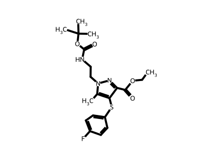 CCOC(=O)c1nn(CCNC(=O)OC(C)(C)C)c(C)c1Sc1ccc(F)cc1